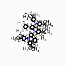 Cc1cc(C)cc(-c2cc3c4c(c2)N(c2ccc(N(c5ccc(C(C)(C)C)cc5)c5ccc(C(C)(C)C)cc5)c5c2sc2ccccc25)c2ccc(C(C)(C)C)cc2B4c2cc(C(C)(C)C)ccc2N3c2ccc(C(C)(C)C)cc2)c1